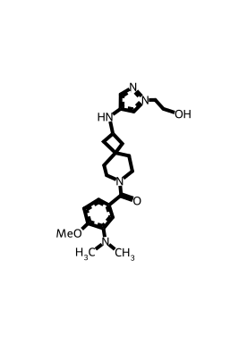 COc1ccc(C(=O)N2CCC3(CC2)CC(Nc2cnn(CCO)c2)C3)cc1N(C)C